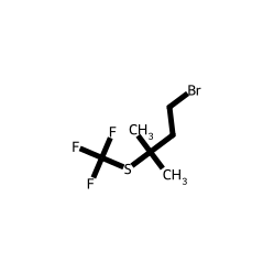 CC(C)(CCBr)SC(F)(F)F